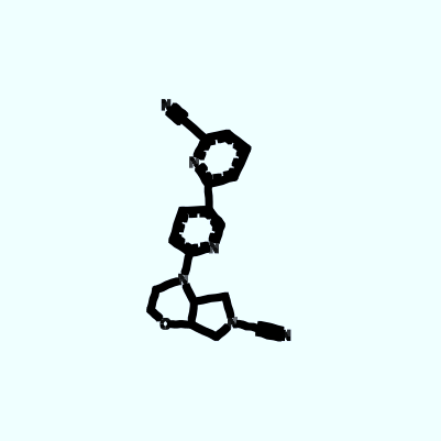 N#Cc1cccc(-c2ccc(N3CCOC4CN(C#N)CC43)nc2)n1